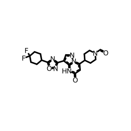 O=CN1CCC(c2cc(=O)[nH]c3c(-c4noc(C5CCC(F)(F)CC5)n4)cnn23)CC1